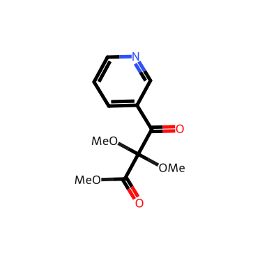 COC(=O)C(OC)(OC)C(=O)c1cccnc1